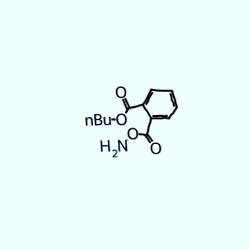 CCCCOC(=O)c1ccccc1C(=O)ON